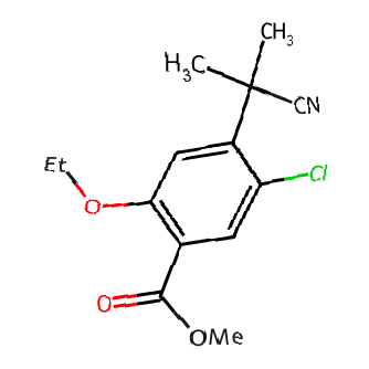 CCOc1cc(C(C)(C)C#N)c(Cl)cc1C(=O)OC